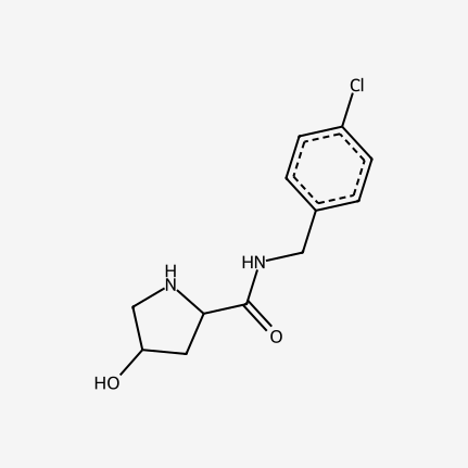 O=C(NCc1ccc(Cl)cc1)C1CC(O)CN1